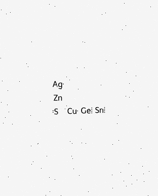 [Ag].[Cu].[Ge].[S].[Sn].[Zn]